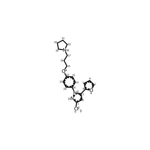 FC(F)(F)c1cc(-c2ccco2)n(-c2ccc(OCCCN3CCCC3)cc2)n1